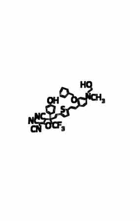 CN(CCO)c1ccc(/C=C/c2ccc(/C=C/C3(c4ccc(O)cc4)C(C#N)C(=C(C#N)C#N)OC3C(F)(F)F)s2)c(OCc2ccccc2)c1